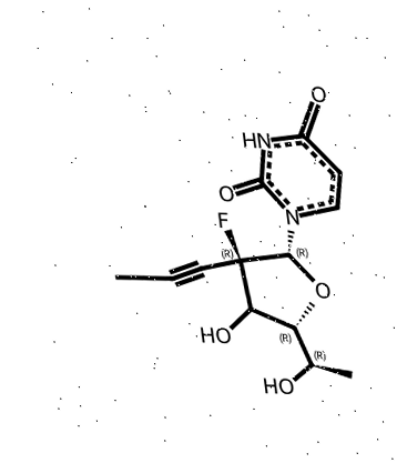 CC#C[C@@]1(F)C(O)[C@@H]([C@@H](C)O)O[C@H]1n1ccc(=O)[nH]c1=O